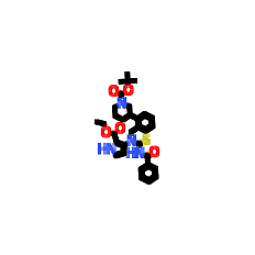 CCOC(=O)c1[nH]ccc1N(Cc1ccccc1C1CCCN(C(=O)OC(C)(C)C)C1)C(=S)NC(=O)c1ccccc1